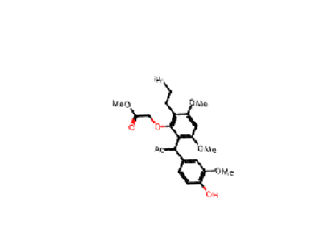 COC(=O)COc1c(CCC(C)C)c(OC)cc(OC)c1C(C(C)=O)c1ccc(O)c(OC)c1